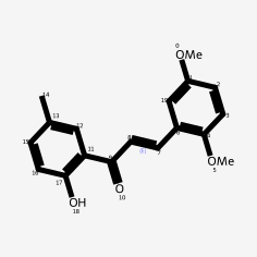 COc1ccc(OC)c(/C=C/C(=O)c2cc(C)ccc2O)c1